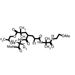 CCC(CC(CC(C)(C)C(=O)OCC(C)O)C(=O)NC(C)(C)C(=O)NC)C(=O)NC(C)(C)C(=O)NCCOC